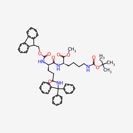 COC(=O)[C@@H](CCCCNC(=O)OC(C)(C)C)NC(=O)[C@@H](CCC(=O)NC(c1ccccc1)(c1ccccc1)c1ccccc1)NC(=O)OCC1c2ccccc2-c2ccccc21